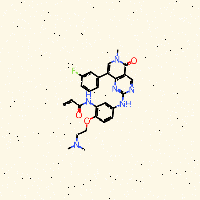 C=CC(=O)Nc1cc(Nc2ncc3c(=O)n(C)cc(-c4cccc(F)c4)c3n2)ccc1OCCN(C)C